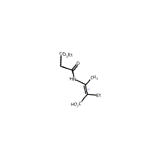 CCOC(=O)CC(=O)N/C(C)=C(/CC)C(=O)O